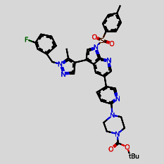 Cc1ccc(S(=O)(=O)n2cc(-c3cnn(Cc4cccc(F)c4)c3C)c3cc(-c4ccc(N5CCN(C(=O)OC(C)(C)C)CC5)nc4)cnc32)cc1